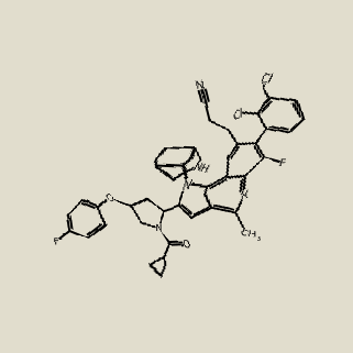 Cc1nc2c(F)c(-c3cccc(Cl)c3Cl)c(CCC#N)cc2c2c1cc(C1CC(Oc3ccc(F)cc3)CN1C(=O)C1CC1)n2C1C2CNC1C2